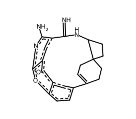 N=C1NC2CCC23CC=C(CC3)c2ccc3oc4nc(N)c1cc4c(=O)c3c2